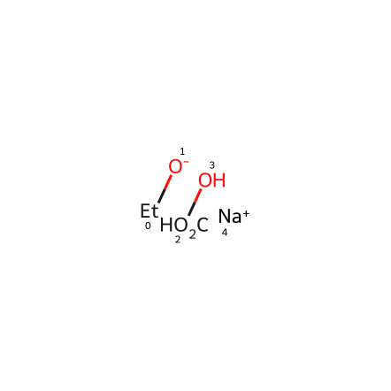 CC[O-].O=C(O)O.[Na+]